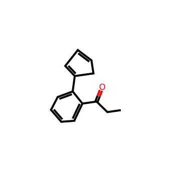 CCC(=O)c1ccccc1C1=CC=CC1